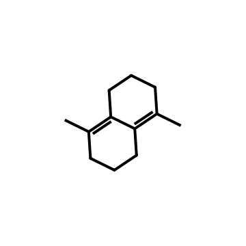 CC1=C2CCCC(C)=C2CCC1